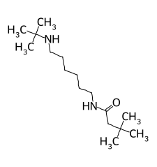 CC(C)(C)CC(=O)NCCCCCCNC(C)(C)C